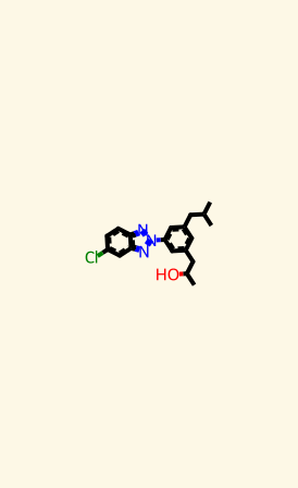 CC(C)Cc1cc(CC(C)O)cc(-n2nc3ccc(Cl)cc3n2)c1